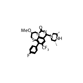 CO[C@H]1CSc2c(-c3ccc(F)cc3)c(C(F)(F)F)cc3c(N4C[C@@H](C)N[C@@H](C)C4)nc(=O)n(c23)C1